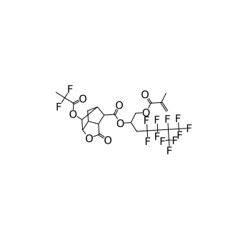 C=C(C)C(=O)OCC(CC(F)(F)C(F)(F)C(F)(C(F)(F)F)C(F)(F)F)OC(=O)C1C2CC3C(OC(=O)C31)C2OC(=O)C(C)(F)F